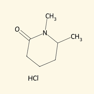 CC1CCCC(=O)N1C.Cl